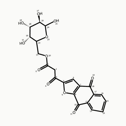 O=C(CC(=O)c1cc2c(o1)C(=O)c1ccccc1C2=O)OCC1OC(O)[C@H](O)[C@@H](O)[C@H]1O